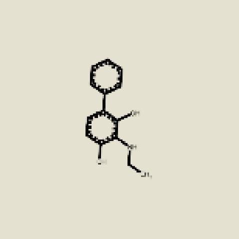 CCNc1c(O)ccc(-c2ccccc2)c1O